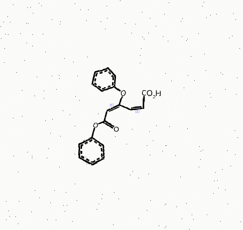 O=C(O)/C=C\C(=C/C(=O)Oc1ccccc1)Oc1ccccc1